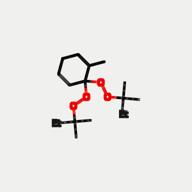 CCC(C)(C)OOC1(OOC(C)(C)CC)CCCCC1C